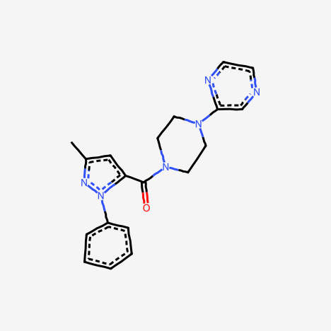 Cc1cc(C(=O)N2CCN(c3cnccn3)CC2)n(-c2ccccc2)n1